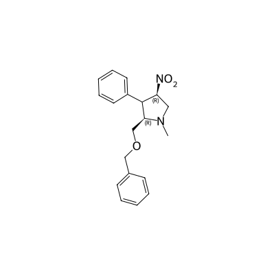 CN1C[C@H]([N+](=O)[O-])C(c2ccccc2)[C@@H]1COCc1ccccc1